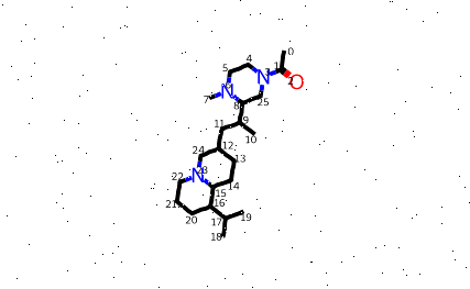 CC(=O)N1CCN(C)C(C(C)CC2CCC3C(C(C)C)CCCN3C2)C1